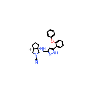 N#CN1C[C@H]2CCC[C@@]2(NCc2cc(-c3ccccc3Oc3ccccc3)[nH]n2)C1